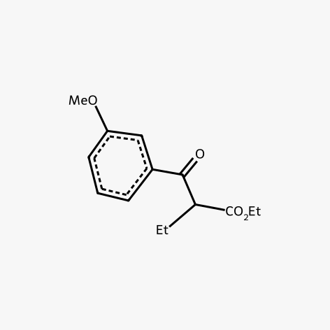 CCOC(=O)C(CC)C(=O)c1cccc(OC)c1